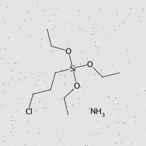 CCO[Si](CCCCl)(OCC)OCC.N